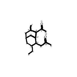 CCC1CC2CC(C)C(C(C)=O)C(C2)C1CC(C)=O